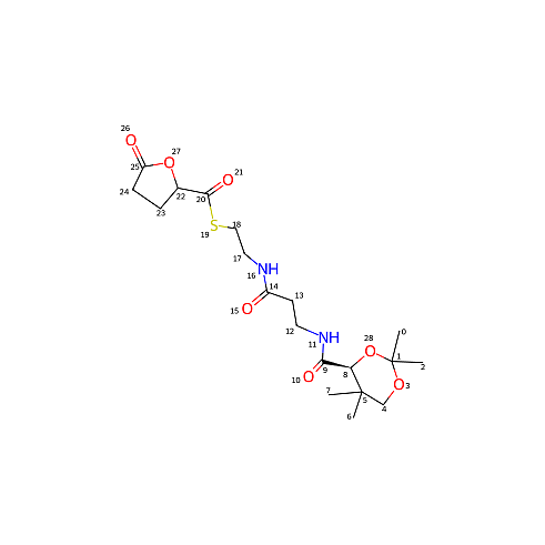 CC1(C)OCC(C)(C)[C@@H](C(=O)NCCC(=O)NCCSC(=O)C2CCC(=O)O2)O1